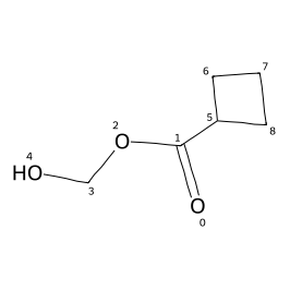 O=C(OCO)C1CCC1